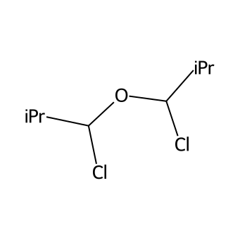 CC(C)C(Cl)OC(Cl)C(C)C